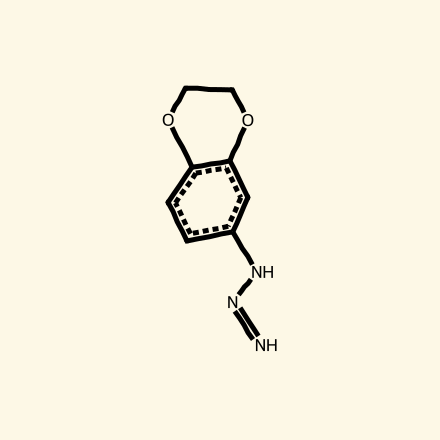 N=NNc1ccc2c(c1)OCCO2